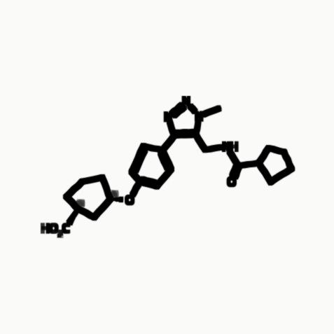 Cn1nnc(-c2ccc(O[C@H]3CCC[C@H](C(=O)O)C3)cc2)c1CNC(=O)C1CCCC1